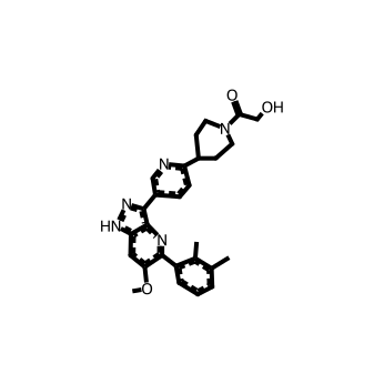 COc1cc2[nH]nc(-c3ccc(C4CCN(C(=O)CO)CC4)nc3)c2nc1-c1cccc(C)c1C